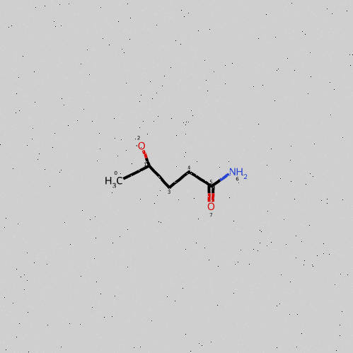 CC([O])CCC(N)=O